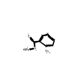 C.CCCOC(=O)c1ccccc1